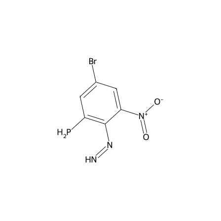 N=Nc1c(P)cc(Br)cc1[N+](=O)[O-]